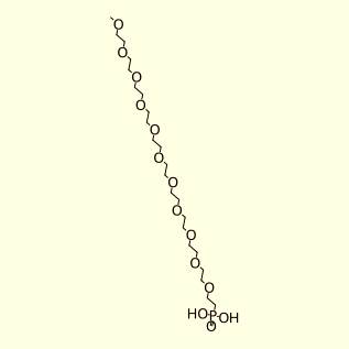 COCCOCCOCCOCCOCCOCCOCCOCCOCCOCCOCCP(=O)(O)O